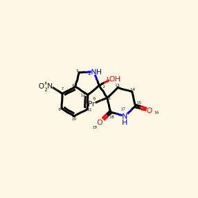 CCCC1(C2(O)NCc3c([N+](=O)[O-])cccc32)CCC(=O)NC1=O